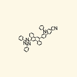 N#Cc1ccc2c3ccc(-c4cc5c6ccccc6c(-c6nc(-c7ccccc7)nc(-c7ccccc7)n6)cc5c5ccccc45)cc3n(-c3ccccc3)c2c1